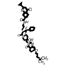 CN(C)CCCOc1ccc2c(=O)n(CC3(O)CCN(C(=O)[C@H](CCCNC(=O)c4ccc5c(Cl)cc(C6CC6)nc5c4)C(F)(F)c4ccccc4)CC3)cnc2c1